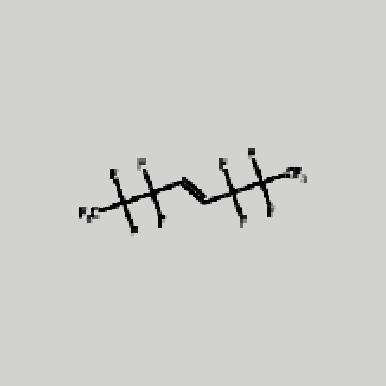 FC(F)(F)C(F)(F)C(F)(F)C=CC(F)(F)C(F)(F)C(F)(F)F